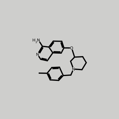 Cc1ccc(CN2CCCC(Oc3ccc4c(N)nccc4c3)C2)cc1